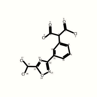 O=C(Cl)C(C(=O)Cl)c1cccc(-c2noc(C(Cl)Cl)n2)c1